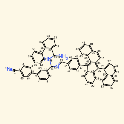 N#Cc1ccc(-c2cccc(C(/N=C/c3ccc(-c4c5ccccc5c(-c5cccc6ccccc56)c5ccc6ccccc6c45)cc3)NC(N)c3ccccc3-c3ccccc3)c2)cc1